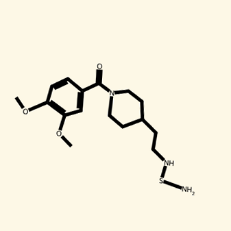 COc1ccc(C(=O)N2CCC(CCNSN)CC2)cc1OC